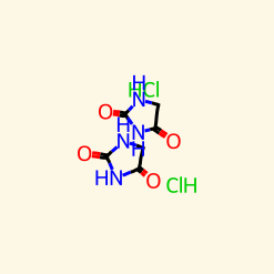 Cl.Cl.O=C1CNC(=O)N1.O=C1CNC(=O)N1